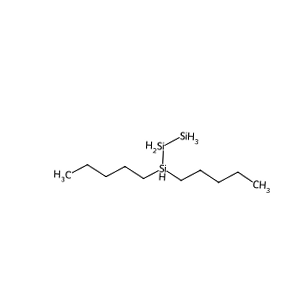 CCCCC[SiH](CCCCC)[SiH2][SiH3]